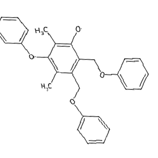 Cc1c([O])c(COc2ccccc2)c(COc2ccccc2)c(C)c1Oc1ccccc1